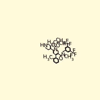 Cc1ccccc1C1=C(C(=O)N(C)Cc2cc(C(F)(F)F)cc(C(F)(F)F)c2)CN(C(=O)OC(C)(C)C)C(C2=CCNCC2)=C1